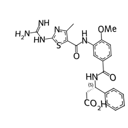 COc1ccc(C(=O)N[C@@H](CC(=O)O)c2ccccc2)cc1NC(=O)c1sc(NC(=N)N)nc1C